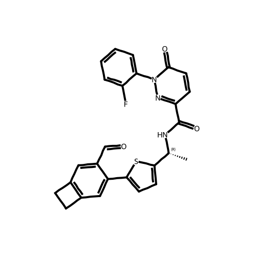 C[C@@H](NC(=O)c1ccc(=O)n(-c2ccccc2F)n1)c1ccc(-c2cc3c(cc2C=O)CC3)s1